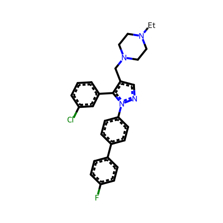 CCN1CCN(Cc2cnn(-c3ccc(-c4ccc(F)cc4)cc3)c2-c2cccc(Cl)c2)CC1